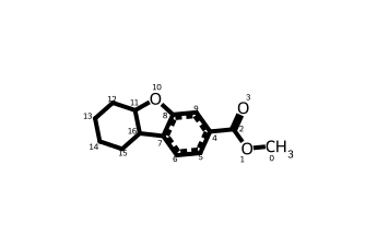 COC(=O)c1ccc2c(c1)OC1CCCCC21